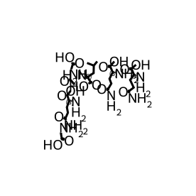 CC(=O)NCC(=O)O.CC(C)C[C@H](N)C(=O)O.NC(=O)CC[C@H](N)C(=O)O.NC(=O)CC[C@H](N)C(=O)O.NC(=O)CC[C@H](N)C(=O)O.NCC(=O)O